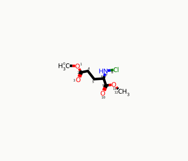 COC(=O)CCC(NCl)C(=O)OC